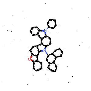 c1ccc(-n2c3ccccc3c3c4c5ccc6oc7ccccc7c6c5n(-c5cc6ccccc6c6ccccc56)c4ccc32)cc1